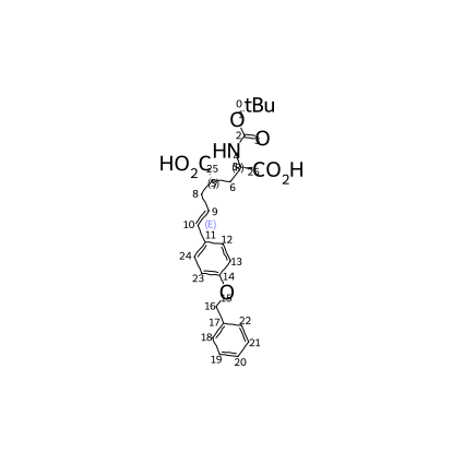 CC(C)(C)OC(=O)N[C@H](C[C@H](C/C=C/c1ccc(OCc2ccccc2)cc1)C(=O)O)C(=O)O